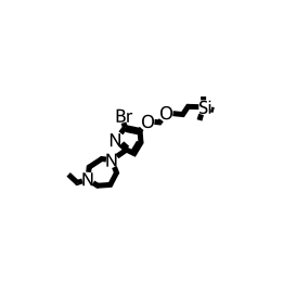 CCN1CCCN(c2ccc(OCOCC[Si](C)(C)C)c(Br)n2)CC1